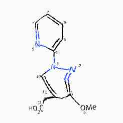 COc1nn(-c2ccccn2)cc1C(=O)O